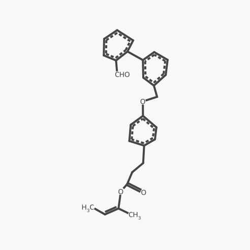 C/C=C(/C)OC(=O)CCc1ccc(OCc2cccc(-c3ccccc3C=O)c2)cc1